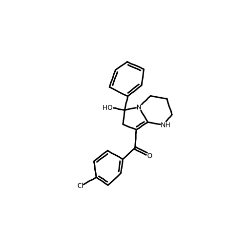 O=C(C1=C2NCCCN2C(O)(c2ccccc2)C1)c1ccc(Cl)cc1